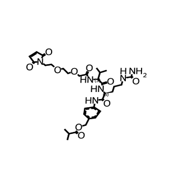 CC(C)C(=O)OCc1ccc(NC(=O)[C@H](CCCNC(N)=O)NC(=O)[C@@H](NC(=O)COCCOCCN2C(=O)C=CC2=O)C(C)C)cc1